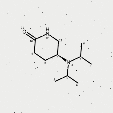 CC(C)N(C(C)C)[C@H]1CCC(=O)NC1